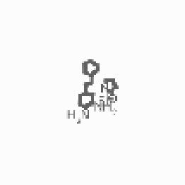 CCOn1cccn1.Nc1ccc(C=Cc2ccccc2)cc1N